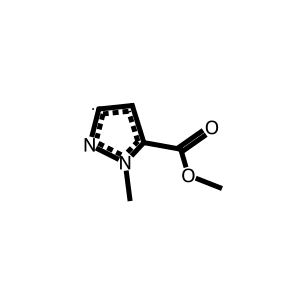 COC(=O)c1c[c]nn1C